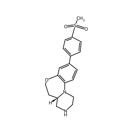 CS(=O)(=O)c1ccc(-c2ccc3c(c2)OCC[C@H]2CNCCN32)cc1